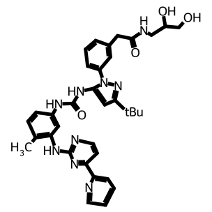 Cc1ccc(NC(=O)Nc2cc(C(C)(C)C)nn2-c2cccc(CC(=O)NCC(O)CO)c2)cc1Nc1nccc(-c2ccccn2)n1